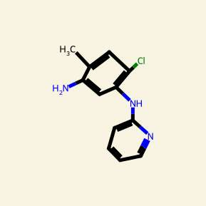 Cc1cc(Cl)c(Nc2ccccn2)cc1N